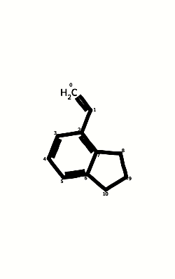 C=Cc1cccc2c1C[C]C2